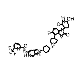 Cn1c(=O)n(C2CCC(O)NC2=O)c2ccc(F)c(C3CCN(C[C@H]4CC[C@H](n5cc6cc(NC(=O)c7cccc(C(F)(F)F)n7)ncc6n5)CC4)CC3)c21